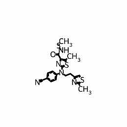 CSNC(=O)c1nc(N(CCc2csc(C)n2)c2ccc(C#N)cc2)sc1C